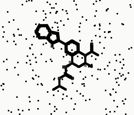 CC(=O)N1c2ccc(-c3cc4ccccc4[nH]3)cc2[C@H](NC(=O)OC(C)C)C[C@@H]1C